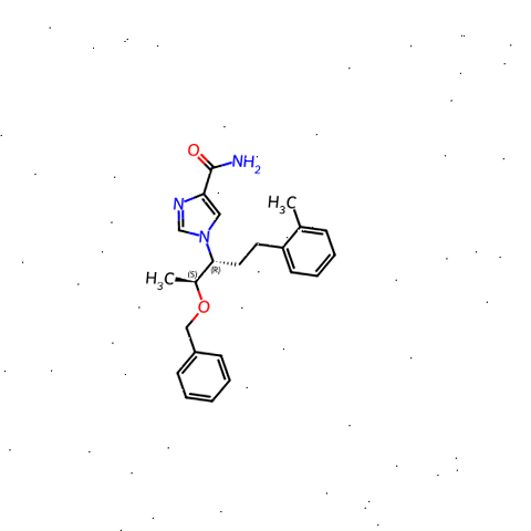 Cc1ccccc1CC[C@H]([C@H](C)OCc1ccccc1)n1cnc(C(N)=O)c1